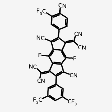 N#CC(C#N)=C1C(c2cc(C(F)(F)F)cc(C(F)(F)F)c2)=C(C#N)c2c(F)c3c(c(F)c21)C(C#N)=C(c1ccc(C#N)c(C(F)(F)F)c1)C3=C(C#N)C#N